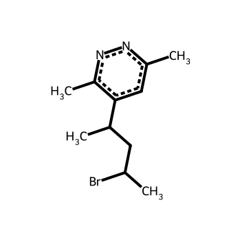 Cc1cc(C(C)CC(C)Br)c(C)nn1